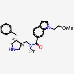 COCCn1ccc2ccc(C(=O)N(C[C@H]3CNC[C@@H]3Cc3ccccc3)C(C)C)cc21